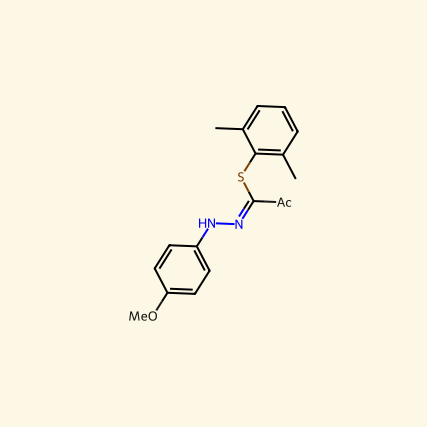 COc1ccc(NN=C(Sc2c(C)cccc2C)C(C)=O)cc1